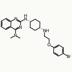 CN(C)c1nc(N[C@H]2CC[C@@H](NCCOc3ccc(Br)cc3)CC2)nc2ccccc12